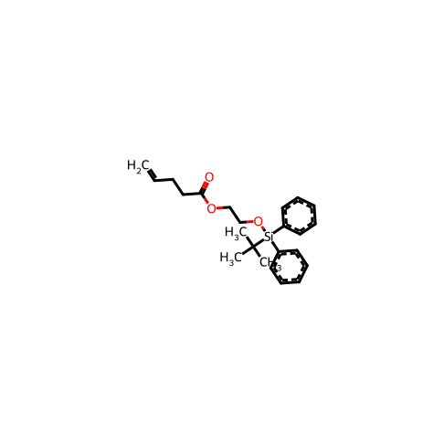 C=CCCC(=O)OCCO[Si](c1ccccc1)(c1ccccc1)C(C)(C)C